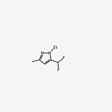 CCn1nc(C)cc1C(F)F